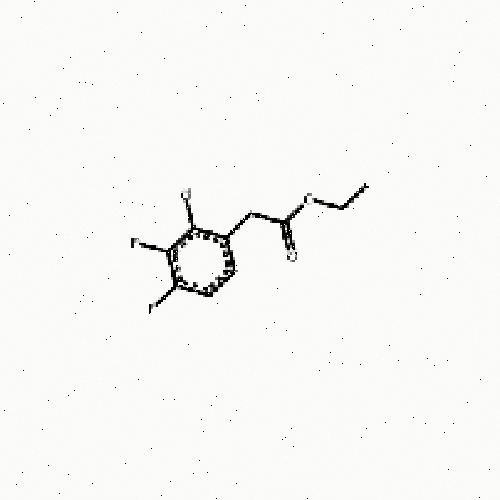 CCOC(=O)Cc1ccc(F)c(F)c1Cl